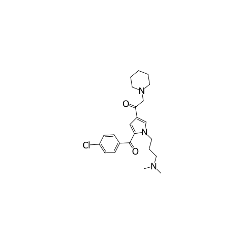 CN(C)CCCn1cc(C(=O)CN2CCCCC2)cc1C(=O)c1ccc(Cl)cc1